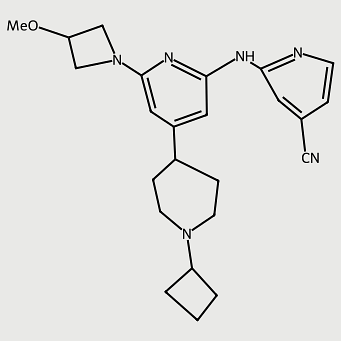 COC1CN(c2cc(C3CCN(C4CCC4)CC3)cc(Nc3cc(C#N)ccn3)n2)C1